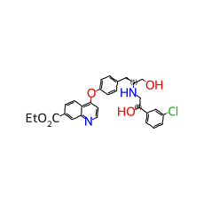 CCOC(=O)c1ccc2c(Oc3ccc(C[C@@H](CO)NC[C@H](O)c4cccc(Cl)c4)cc3)ccnc2c1